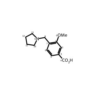 COc1cc(C(=O)O)ccc1CN1CCCC1